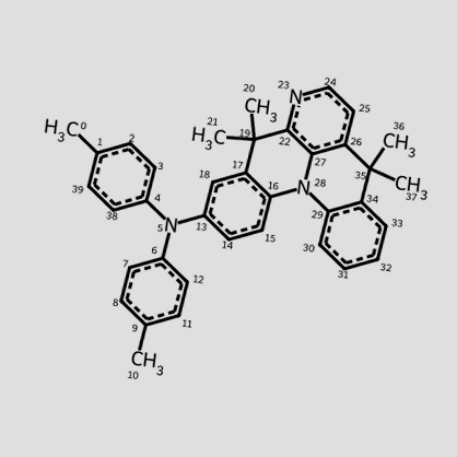 Cc1ccc(N(c2ccc(C)cc2)c2ccc3c(c2)C(C)(C)c2nccc4c2N3c2ccccc2C4(C)C)cc1